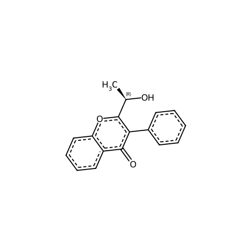 C[C@@H](O)c1oc2ccccc2c(=O)c1-c1ccccc1